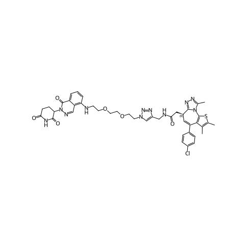 Cc1sc2c(c1C)C(c1ccc(Cl)cc1)=C[C@@H](CC(=O)NCc1cn(CCOCCOCCNc3cccc4c(=O)n(C5CCC(=O)NC5=O)ncc34)nn1)c1nnc(C)n1-2